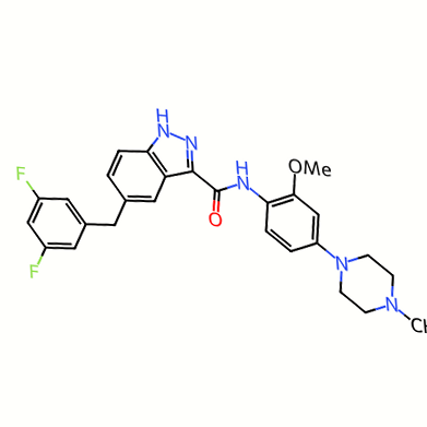 COc1cc(N2CCN(C)CC2)ccc1NC(=O)c1n[nH]c2ccc(Cc3cc(F)cc(F)c3)cc12